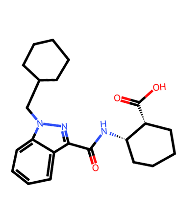 O=C(N[C@H]1CCCC[C@H]1C(=O)O)c1nn(CC2CCCCC2)c2ccccc12